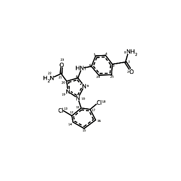 NC(=O)c1ccc(Nc2nn(-c3c(Cl)cccc3Cl)nc2C(N)=O)cc1